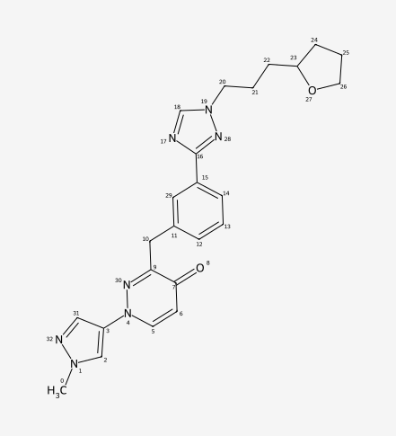 Cn1cc(-n2ccc(=O)c(Cc3cccc(-c4ncn(CCCC5CCCO5)n4)c3)n2)cn1